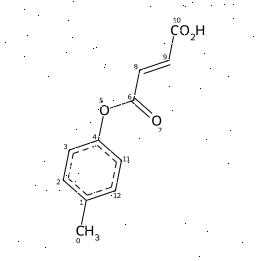 Cc1ccc(OC(=O)/C=C/C(=O)O)cc1